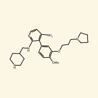 COc1ccc(-c2c(N)ccnc2NCC2CCNCC2)cc1OCCCN1CCCC1